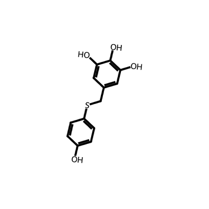 Oc1ccc(SCc2cc(O)c(O)c(O)c2)cc1